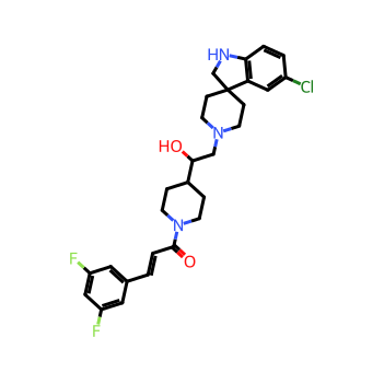 O=C(/C=C/c1cc(F)cc(F)c1)N1CCC(C(O)CN2CCC3(CC2)CNc2ccc(Cl)cc23)CC1